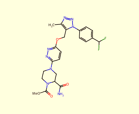 COC(=O)N1CCN(c2ccc(OCc3c(C)nnn3-c3ccc(C(F)F)cc3)nn2)CC1C(N)=O